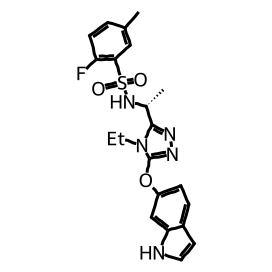 CCn1c(Oc2ccc3cc[nH]c3c2)nnc1[C@@H](C)NS(=O)(=O)c1cc(C)ccc1F